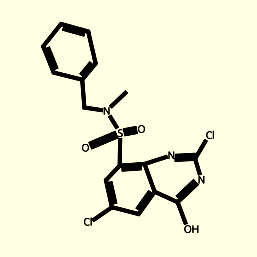 CN(Cc1ccccc1)S(=O)(=O)c1cc(Cl)cc2c(O)nc(Cl)nc12